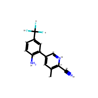 Cc1cc(-c2cc(C(F)(F)F)ccc2N)cnc1C#N